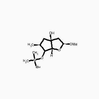 CO[C@@H]1C[C@@]2(O)C[C@H](C)C(O[Si](C)(C)C(C)(C)C)[C@H]2O1